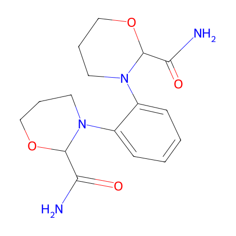 NC(=O)C1OCCCN1c1ccccc1N1CCCOC1C(N)=O